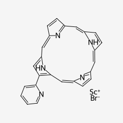 C1=Cc2cc3cc(-c4ccccn4)c(cc4nc(cc5ccc(cc1n2)[nH]5)C=C4)[nH]3.[Br-].[Sc+]